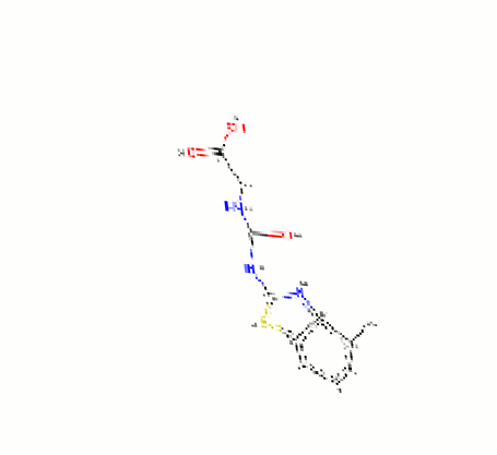 Cc1cccc2sc(NC(=O)NCC(=O)O)nc12